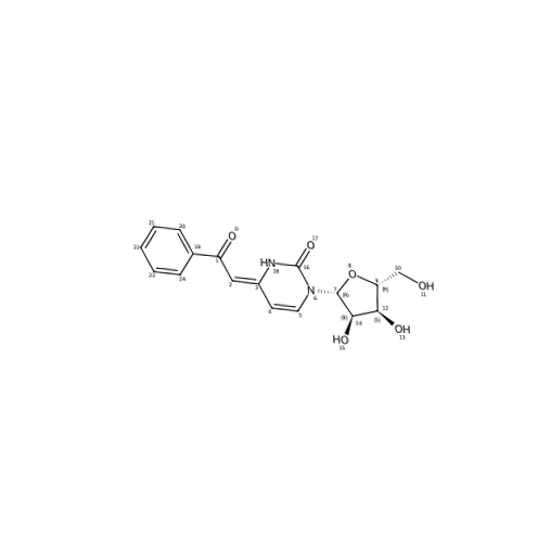 O=C(C=C1C=CN([C@@H]2O[C@H](CO)[C@@H](O)[C@H]2O)C(=O)N1)c1ccccc1